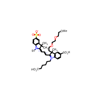 CCN1/C(=C/C=C/C2=[N+](CCCCCC(=O)O)c3ccc(S(=O)(=O)O)cc3C2(C)CCOCCOCCOC)C(C)(C)c2cc(S(=O)(=O)[O-])ccc21